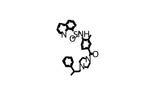 Cc1cc(C(=O)N2CCN(CC(C)c3ccccc3)CC2)ccc1N[S+]([O-])c1cccc2cccnc12